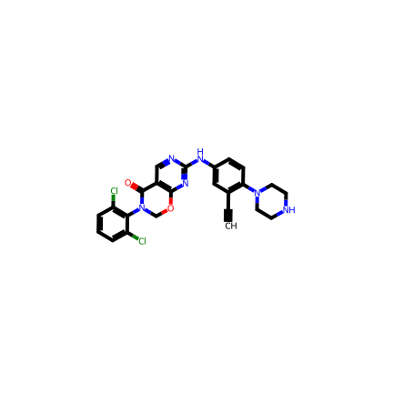 C#Cc1cc(Nc2ncc3c(n2)OCN(c2c(Cl)cccc2Cl)C3=O)ccc1N1CCNCC1